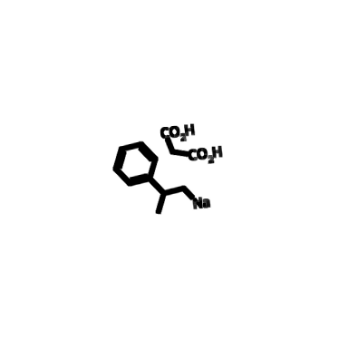 CC([CH2][Na])c1ccccc1.O=C(O)CC(=O)O